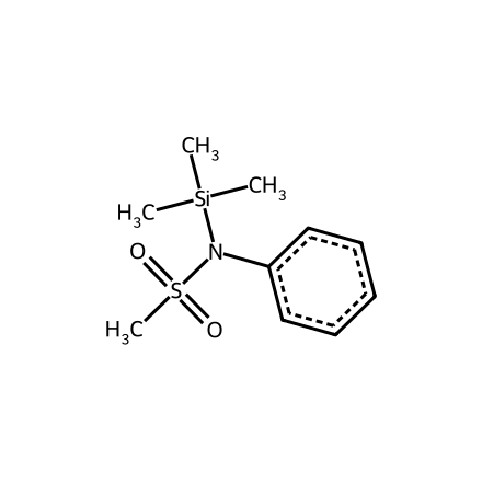 C[Si](C)(C)N(c1ccccc1)S(C)(=O)=O